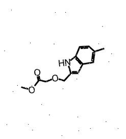 COC(=O)COCc1cc2cc(C)ccc2[nH]1